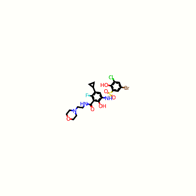 O=C(NCCN1CCOCC1)c1c(O)c(NS(=O)(=O)c2cc(Br)cc(Cl)c2O)cc(C2CC2)c1F